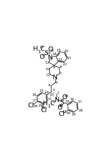 CN(C[C@@H](CCN1CCC2(CC1)CN(S(C)(=O)=O)c1ccccc12)c1ccc(Cl)c(Cl)c1)S(=O)(=O)c1ccccc1Cl